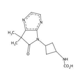 CC1(C)C(=O)N(C2CC(NC(=O)O)C2)c2nccnc21